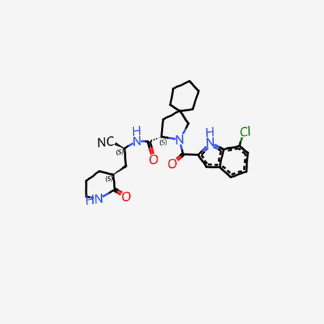 N#C[C@H](C[C@@H]1CCCNC1=O)NC(=O)[C@@H]1CC2(CCCCC2)CN1C(=O)c1cc2cccc(Cl)c2[nH]1